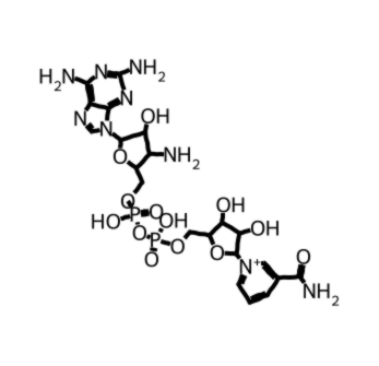 NC(=O)c1ccc[n+](C2OC(COP(=O)(O)OP(=O)(O)OCC3OC(n4cnc5c(N)nc(N)nc54)C(O)C3N)C(O)C2O)c1